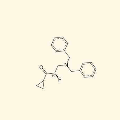 O=C(C1CC1)[C@H](F)CN(Cc1ccccc1)Cc1ccccc1